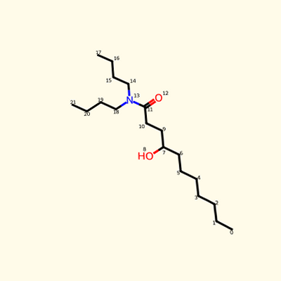 CCCCCCCC(O)CCC(=O)N(CCCC)CCCC